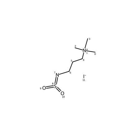 C[N+](C)(C)CCCN=S(=O)=O.[I-]